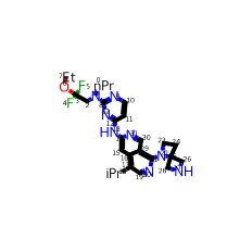 CCCN(CC(F)(F)OCC)c1nccc(Nc2cc3c(C(C)C)cnc(N4CCC45CNC5)c3cn2)n1